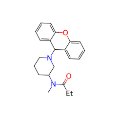 CCC(=O)N(C)C1CCCN(C2c3ccccc3Oc3ccccc32)C1